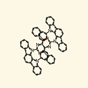 c1ccc(-c2nc(-n3c4ccccc4c4ccc5c6ccccc6n(-c6ccccc6)c5c43)nc3c(-c4ccccc4)nc(-n4c5ccccc5c5ccc6c7ccccc7n(-c7ccccc7)c6c54)nc23)cc1